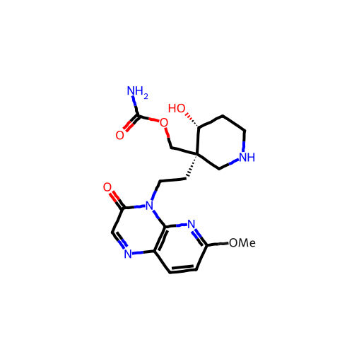 COc1ccc2ncc(=O)n(CC[C@@]3(COC(N)=O)CNCC[C@H]3O)c2n1